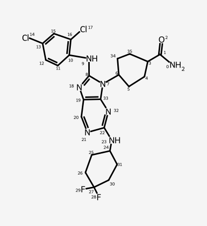 NC(=O)C1CCC(n2c(Nc3ccc(Cl)cc3Cl)nc3cnc(NC4CCC(F)(F)CC4)nc32)CC1